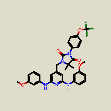 COc1cccc(Nc2cc(CN3C(=O)N(c4ccc(OC(F)(F)F)cc4)C(=O)C3(C)C)cc(Nc3cccc(OC)c3)n2)c1